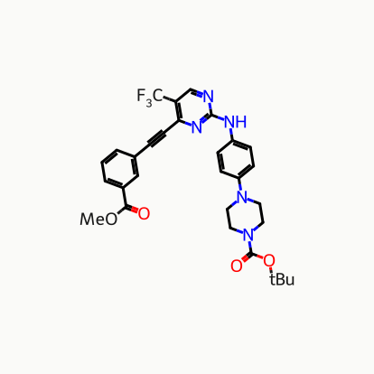 COC(=O)c1cccc(C#Cc2nc(Nc3ccc(N4CCN(C(=O)OC(C)(C)C)CC4)cc3)ncc2C(F)(F)F)c1